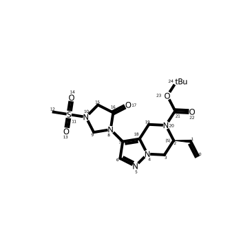 C=C[C@H]1Cn2ncc(N3CN(S(C)(=O)=O)CC3=O)c2CN1C(=O)OC(C)(C)C